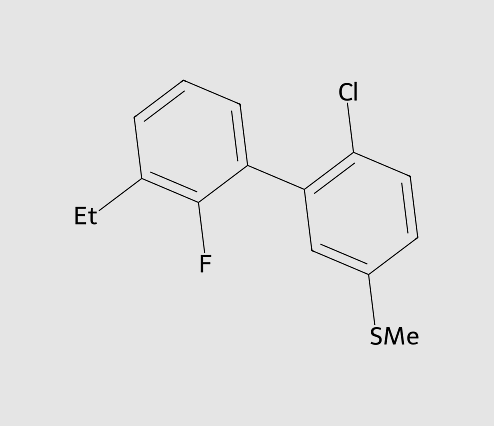 CCc1cccc(-c2cc(SC)ccc2Cl)c1F